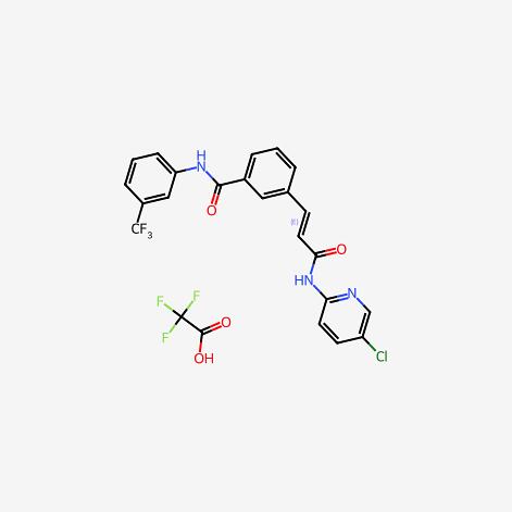 O=C(/C=C/c1cccc(C(=O)Nc2cccc(C(F)(F)F)c2)c1)Nc1ccc(Cl)cn1.O=C(O)C(F)(F)F